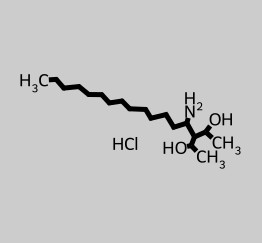 CCCCCCCCCCCCCC(N)C(C(C)O)C(C)O.Cl